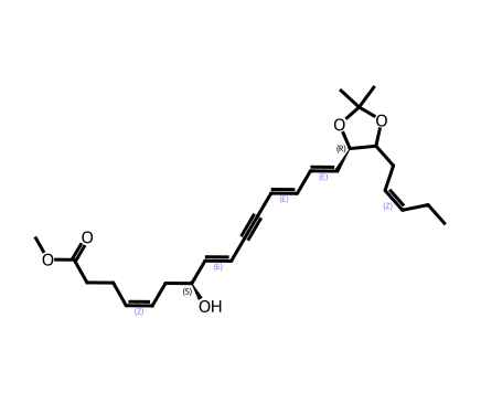 CC/C=C\CC1OC(C)(C)O[C@@H]1/C=C/C=C/C#C/C=C/[C@@H](O)C/C=C\CCC(=O)OC